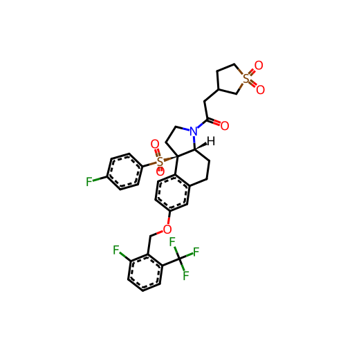 O=C(CC1CCS(=O)(=O)C1)N1CC[C@@]2(S(=O)(=O)c3ccc(F)cc3)c3ccc(OCc4c(F)cccc4C(F)(F)F)cc3CC[C@@H]12